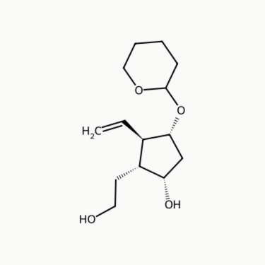 C=C[C@@H]1[C@@H](CCO)[C@@H](O)C[C@H]1OC1CCCCO1